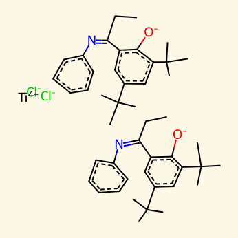 CCC(=Nc1ccccc1)c1cc(C(C)(C)C)cc(C(C)(C)C)c1[O-].CCC(=Nc1ccccc1)c1cc(C(C)(C)C)cc(C(C)(C)C)c1[O-].[Cl-].[Cl-].[Ti+4]